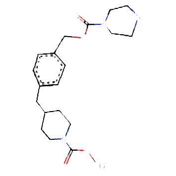 CC(C)(C)OC(=O)N1CCC(Cc2ccc(COC(=O)N3CCNCC3)cc2)CC1